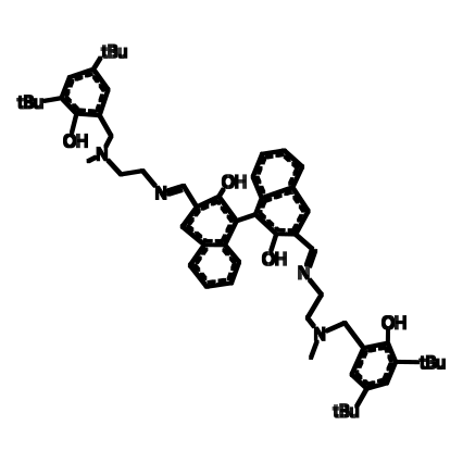 CN(CC/N=C/c1cc2ccccc2c(-c2c(O)c(/C=N/CCN(C)Cc3cc(C(C)(C)C)cc(C(C)(C)C)c3O)cc3ccccc23)c1O)Cc1cc(C(C)(C)C)cc(C(C)(C)C)c1O